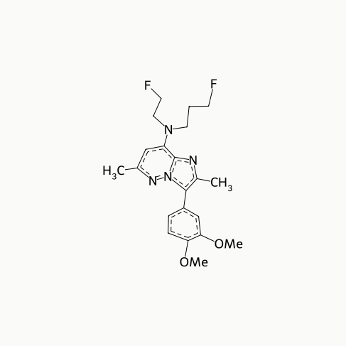 COc1ccc(-c2c(C)nc3c(N(CCF)CCCF)cc(C)nn23)cc1OC